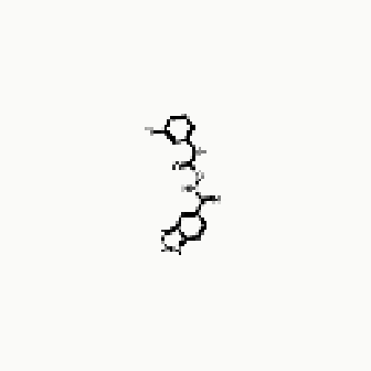 N=C(NOC(=O)Nc1cccc(Cl)c1)c1ccc2nonc2c1